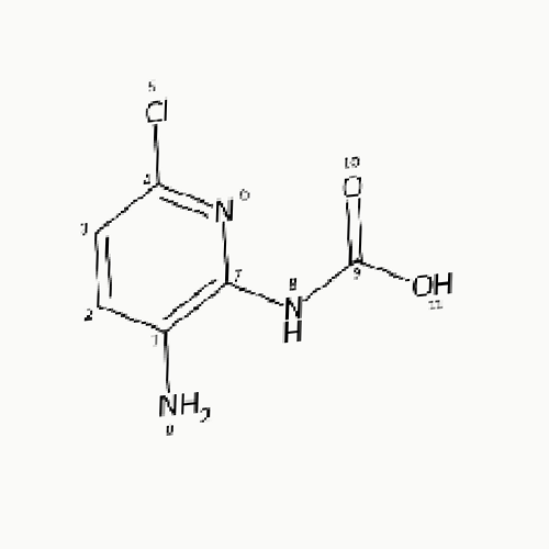 Nc1ccc(Cl)nc1NC(=O)O